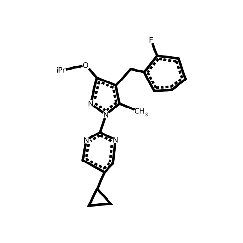 Cc1c(Cc2ccccc2F)c(OC(C)C)nn1-c1ncc(C2CC2)cn1